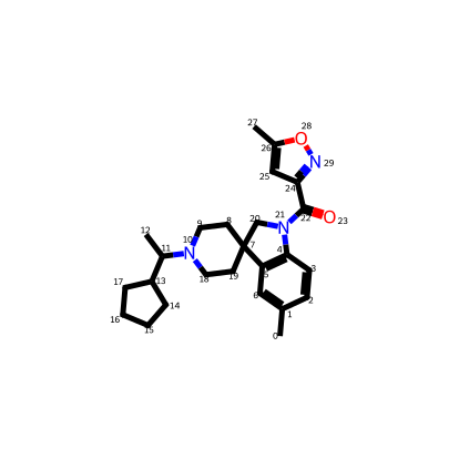 Cc1ccc2c(c1)C1(CCN(C(C)C3CCCC3)CC1)CN2C(=O)c1cc(C)on1